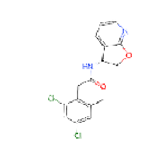 Cc1cc(Cl)cc(Cl)c1CC(=O)N[C@H]1COc2ncccc21